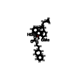 COC12CCC3(CC1C(C)(OC(=O)OCCC1=CCc4ccccc4C1)C(C)(C)C)C1N(CC4CC4)C14CC31c3c4ccc(O)c3OC21